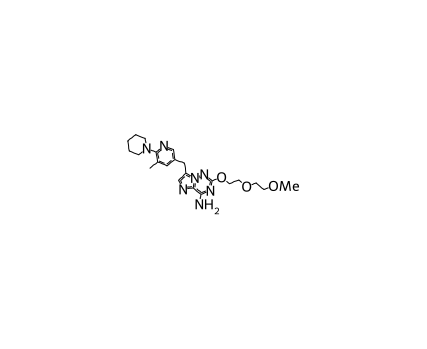 COCCOCCOc1nc(N)c2ncc(Cc3cnc(N4CCCCC4)c(C)c3)n2n1